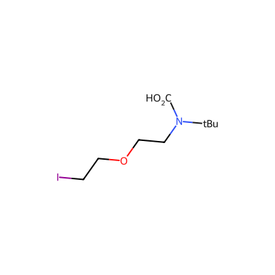 CC(C)(C)N(CCOCCI)C(=O)O